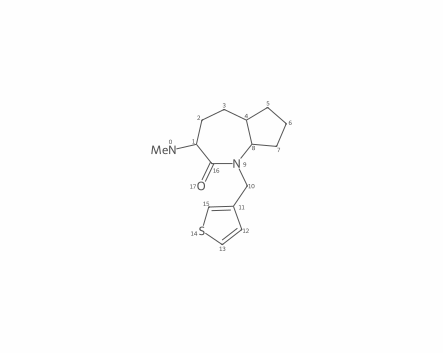 CNC1CCC2CCCC2N(Cc2ccsc2)C1=O